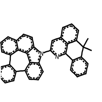 CC1(C)c2ccccc2-c2nc(-n3c4cccc5c4c4c6c(cccc6ccc43)-c3ccccc3-5)cc3cccc1c23